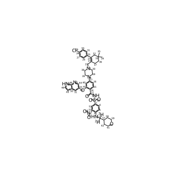 [2H]C([2H])(Nc1ccc(S(=O)(=O)NC(=O)c2ccc(N3CCN(CC4=C(c5ccc(Cl)cc5)CC(C)(C)CC4)CC3)cc2Oc2cnc3[nH]ccc3c2)cc1[N+](=O)[O-])C1CCOCC1